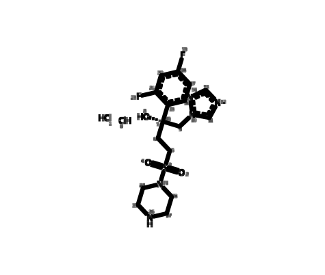 Cl.Cl.O=S(=O)(CC[C@](O)(Cn1cncn1)c1ccc(F)cc1F)N1CCNCC1